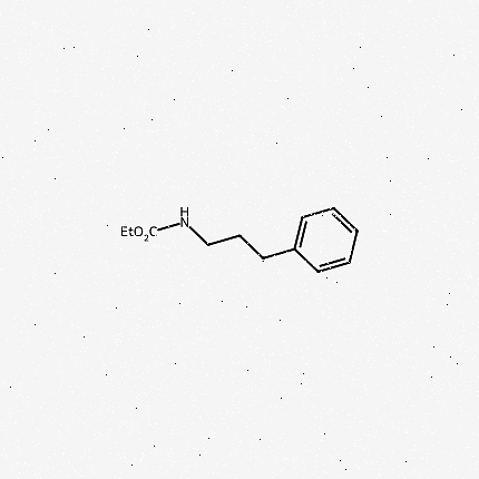 CCOC(=O)NCC[CH]c1ccccc1